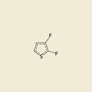 Fc1[c]csc1F